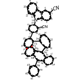 N#Cc1ccc2c(c1)c1ccccc1n2-c1ccc(-c2ccccc2-c2ccccc2-c2c3ccccc3c(-c3ccccc3)c3ccccc23)cc1C#N